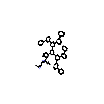 C/C=C\C=C(/N)c1cccc(-c2cc(-c3cc(-c4cccc(-c5ccccc5)c4)cc(-c4cccc(-c5ccccc5)c4)c3)cc(-c3cc(-c4cccc(-c5ccccc5)c4)cc(-c4cccc(-c5ccccc5)c4)c3)c2)c1